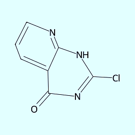 O=c1nc(Cl)[nH]c2ncccc12